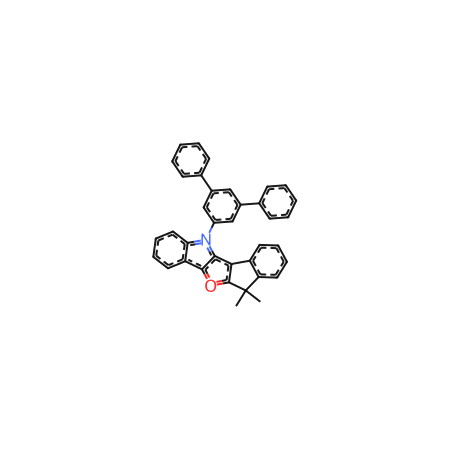 CC1(C)c2ccccc2-c2c1oc1c3ccccc3n(-c3cc(-c4ccccc4)cc(-c4ccccc4)c3)c21